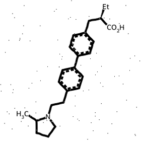 CC[C@H](Cc1ccc(-c2ccc(CCN3CCCC3C)cc2)cc1)C(=O)O